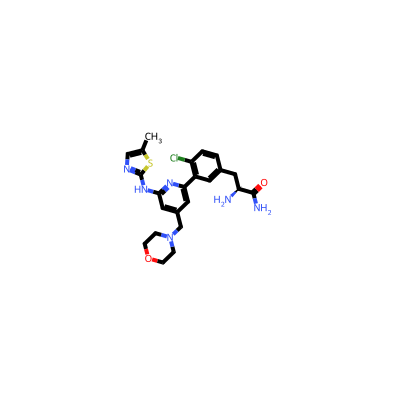 Cc1cnc(Nc2cc(CN3CCOCC3)cc(-c3cc(C[C@H](N)C(N)=O)ccc3Cl)n2)s1